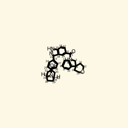 O=C(NCC1(c2ccccc2)CCOCC1)c1ccc2[nH]nc(-c3ccc(N4[C@@H]5CC[C@H]4C[C@@H](O)C5)cc3)c2c1